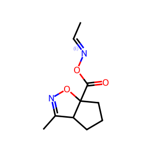 C/C=N/OC(=O)C12CCCC1C(C)=NO2